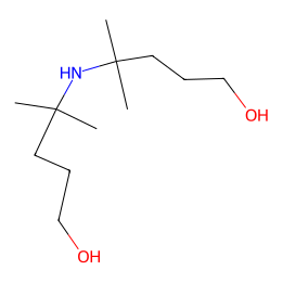 CC(C)(CCCO)NC(C)(C)CCCO